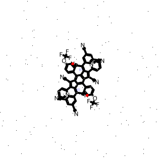 N#CC1=C(c2ccccn2)/C(=C(/C#N)c2cc(C#N)cc(C#N)c2)c2c1c(-c1ccc(OC(F)(F)F)cc1)c1c(c2-c2ccc(OC(F)(F)F)cc2)C(C#N)=C(c2ccccn2)/C1=C(/C#N)c1cc(C#N)cc(C#N)c1